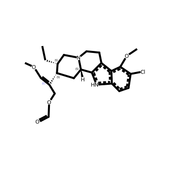 CC[C@@H]1CN2CCc3c([nH]c4ccc(Cl)c(OC)c34)[C@@H]2C[C@@H]1/C(=C\OC)COC=O